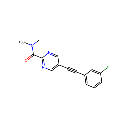 CN(C(=O)c1ncc(C#Cc2cccc(F)c2)cn1)C(C)(C)C